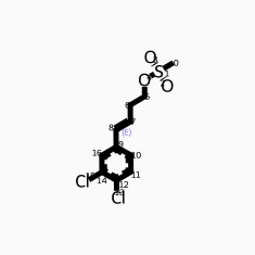 CS(=O)(=O)OCC/C=C/c1ccc(Cl)c(Cl)c1